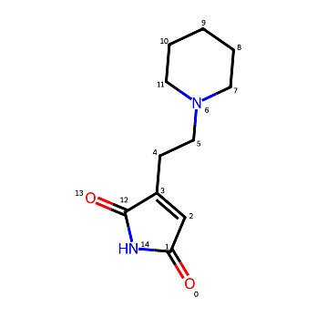 O=C1C=C(CCN2CCCCC2)C(=O)N1